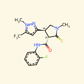 CN1C[C@H](c2cc(C(F)(F)F)n(C)n2)[C@@H](C(=O)Nc2ccccc2F)C1=S